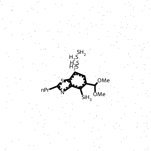 CCCc1nc2c([SiH3])c(C(OC)OC)ccc2s1.S.S.S.S